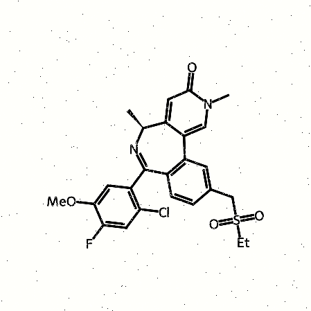 CCS(=O)(=O)Cc1ccc2c(c1)-c1cn(C)c(=O)cc1[C@H](C)N=C2c1cc(OC)c(F)cc1Cl